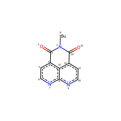 CC(C)(C)N1C(=O)c2ccnc3nccc(c23)C1=O